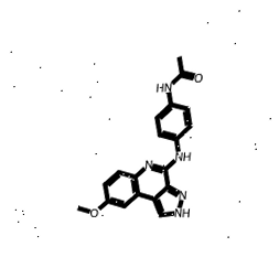 COc1ccc2nc(Nc3ccc(NC(C)=O)cc3)c3n[nH]cc3c2c1